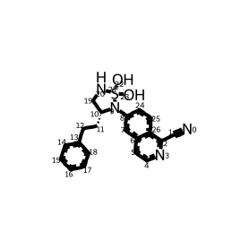 N#Cc1nccc2cc(N3[C@H](CCc4ccccc4)CNS3(O)O)ccc12